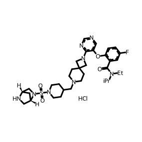 CCN(C(=O)c1cc(F)ccc1Oc1cncnc1N1CC2(CCN(CC3CCN(S(=O)(=O)N4C[C@@H]5C[C@H]4CN5)CC3)CC2)C1)C(C)C.Cl